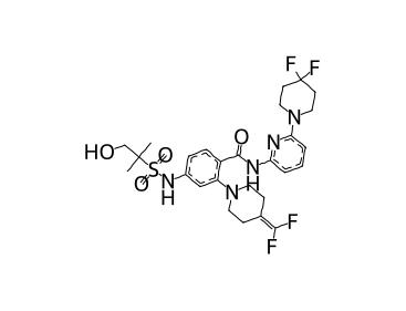 CC(C)(CO)S(=O)(=O)Nc1ccc(C(=O)Nc2cccc(N3CCC(F)(F)CC3)n2)c(N2CCC(=C(F)F)CC2)c1